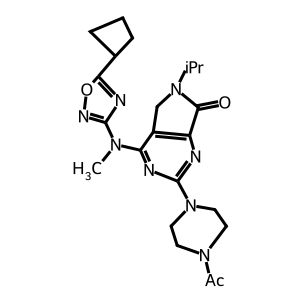 CC(=O)N1CCN(c2nc3c(c(N(C)c4noc(C5CCC5)n4)n2)CN(C(C)C)C3=O)CC1